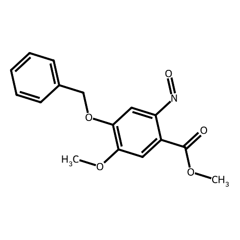 COC(=O)c1cc(OC)c(OCc2ccccc2)cc1N=O